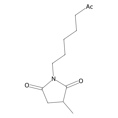 CC(=O)CCCCCN1C(=O)CC(C)C1=O